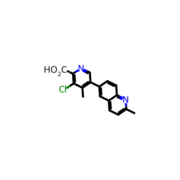 Cc1ccc2cc(-c3cnc(C(=O)O)c(Cl)c3C)ccc2n1